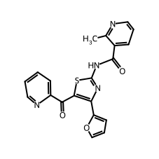 Cc1ncccc1C(=O)Nc1nc(-c2ccco2)c(C(=O)c2ccccn2)s1